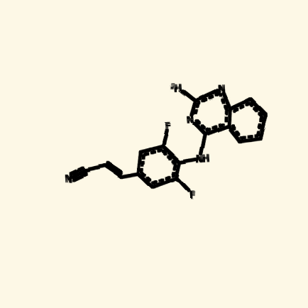 [2H]c1nc(Nc2c(F)cc(C=CC#N)cc2F)c2ccccc2n1